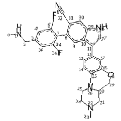 CNCc1cc(F)c(-c2cc3c(-c4ccc5c(c4)OCC4CN(C)CCN54)c[nH]c3cc2C#N)c(F)c1